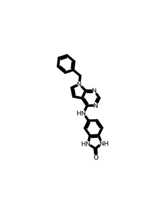 O=c1[nH]c2ccc(Nc3ncnc4c3ccn4Cc3ccccc3)cc2[nH]1